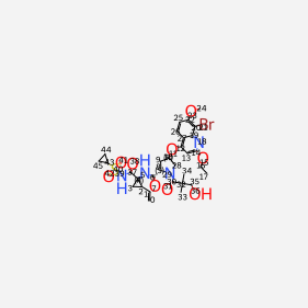 C=CC1C[C@]1(NC(=O)[C@@H]1C[C@@H](Oc2cc(OCC)nc3c(Br)c(OC)ccc23)CN1C(=O)C(C)(C)CO)C(=O)NS(=O)(=O)C1CC1